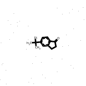 CCC(C)(C)c1ccc2c(c1)CCC2=O